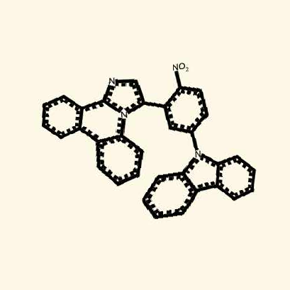 O=[N+]([O-])c1ccc(-n2c3ccccc3c3ccccc32)cc1-c1cnc2c3ccccc3c3ccccc3n12